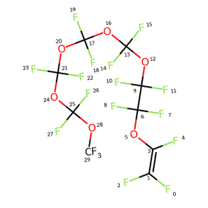 FC(F)=C(F)OC(F)(F)C(F)(F)OC(F)(F)OC(F)(F)OC(F)(F)OC(F)(F)OC(F)(F)F